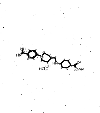 COC(=O)[C@H]1CC[C@H](NCC2CCN(c3ccc(C(=N)N)cc3)CC2)CC1.Cl.Cl